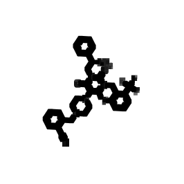 Cc1c(N2CCN(Cc3ccccc3C#N)CC2)c(=O)n(C[C@H](N)c2ccccc2)c(=O)n1Cc1c(F)cccc1C(F)(F)F